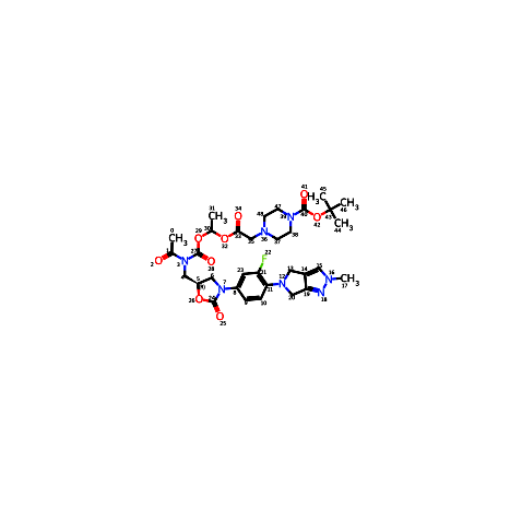 CC(=O)N(C[C@H]1CN(c2ccc(N3Cc4cn(C)nc4C3)c(F)c2)C(=O)O1)C(=O)OC(C)OC(=O)CN1CCN(C(=O)OC(C)(C)C)CC1